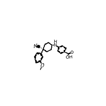 COc1cccc([C@]2(C#N)CC[C@H](Nc3ccc(C(=O)O)cc3)CC2)c1